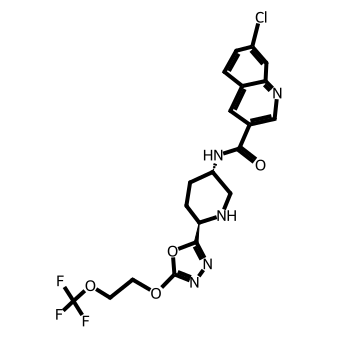 O=C(N[C@H]1CC[C@H](c2nnc(OCCOC(F)(F)F)o2)NC1)c1cnc2cc(Cl)ccc2c1